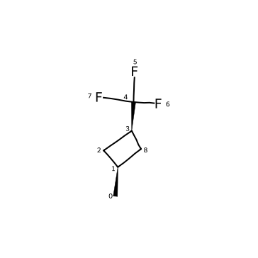 C[C@H]1C[C@@H](C(F)(F)F)C1